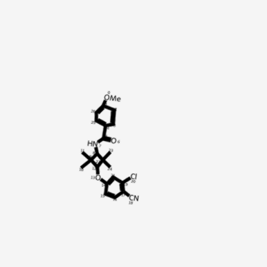 COc1ccc(C(=O)NC2C(C)(C)C(Oc3ccc(C#N)c(Cl)c3)C2(C)C)cc1